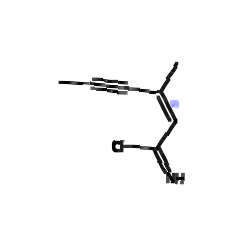 CC#C/C(C)=C\C(=N)Cl